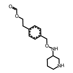 O=COCCc1ccc(CONC2CCCNC2)cc1